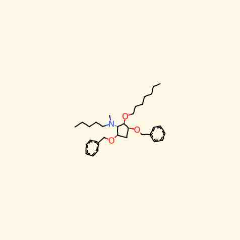 CCCCCCCO[C@@H]1[C@@H](N(C)CCCCC)[C@H](OCc2ccccc2)C[C@@H]1OCc1ccccc1